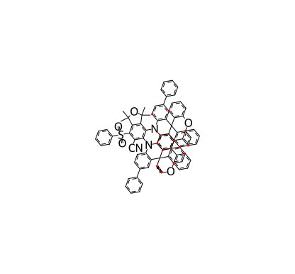 [C-]#[N+]c1c(N2c3ccc(-c4ccccc4)cc3C3(c4ccccc4Oc4ccccc43)c3cc(-c4ccccc4)ccc32)c(N2c3ccc(-c4ccccc4)cc3C3(c4ccccc4Oc4ccccc43)c3cc(-c4ccccc4)ccc32)c2c(c1S(=O)(=O)c1ccccc1)C(C)(C)OC2(C)C